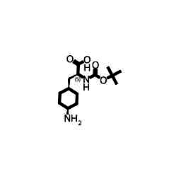 CC(C)(C)OC(=O)N[C@@H](C[C@H]1CC[C@@H](N)CC1)C(=O)O